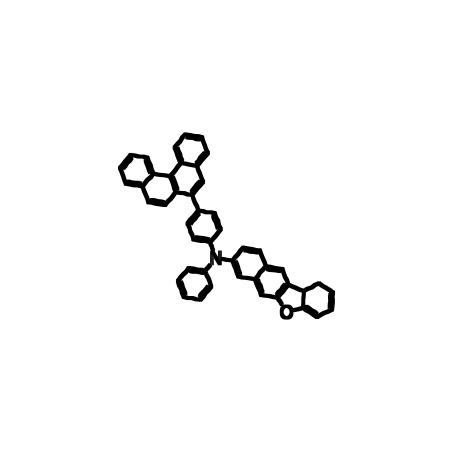 C1=CCC2C(=C1)Oc1cc3cc(N(c4ccccc4)c4ccc(-c5cc6ccccc6c6c5ccc5ccccc56)cc4)ccc3cc12